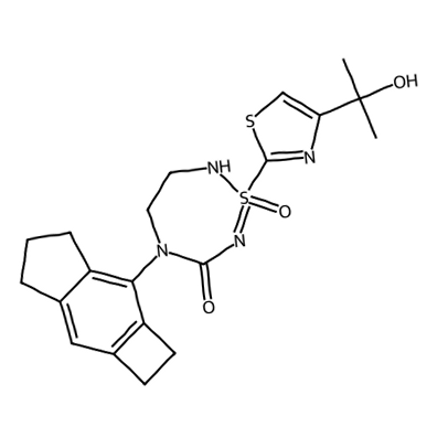 CC(C)(O)c1csc(S2(=O)=NC(=O)N(c3c4c(cc5c3CC5)CCC4)CCN2)n1